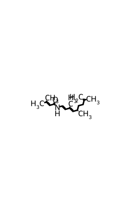 C=C(C)CC[C@H](C)/C=C(C)/C=C/NC(=O)C=C(C)C